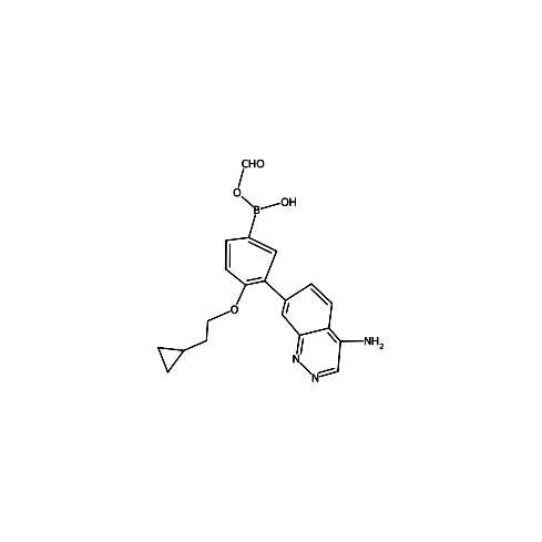 Nc1cnnc2cc(-c3cc(B(O)OC=O)ccc3OCCC3CC3)ccc12